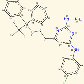 CC(C)(C)[Si](OCCc1cc(Nc2ccc(F)cc2)nc(NN)n1)(c1ccccc1)c1ccccc1